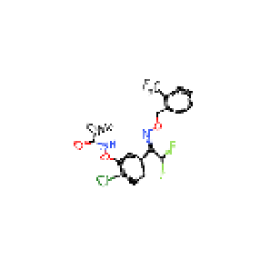 COC(=O)NOc1cc(/C(=N/OCc2ccccc2C(F)(F)F)C(F)F)ccc1Cl